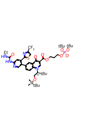 CCNC(=O)Nc1cc(-c2nc(C(F)(F)F)cs2)c(-c2ccc3c(c2)c(=O)c(C(=O)OCCCOP(=O)(OC(C)(C)C)OC(C)(C)C)cn3[C@H](CO[Si](C)(C)C(C)(C)C)C(C)(C)C)cn1